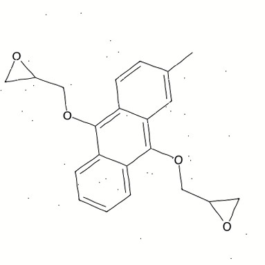 Cc1ccc2c(OCC3CO3)c3ccccc3c(OCC3CO3)c2c1